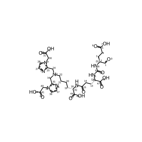 O=C[C@H](CCC(=O)O)NC(=O)N[C@@H](CCC(=O)N[C@@H](CCCCN(Cc1nccn1CC(=O)O)Cc1nccn1CC(=O)O)C(=O)O)C(=O)O